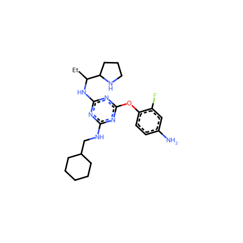 CCC(Nc1nc(NCC2CCCCC2)nc(Oc2ccc(N)cc2F)n1)C1CCCN1